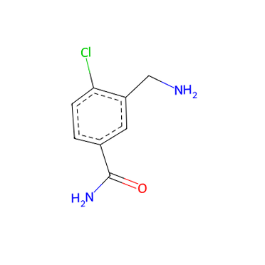 NCc1cc(C(N)=O)ccc1Cl